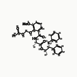 COc1ccnc(C(=O)N[C@@H](C)C(=O)O[C@@H](C)[C@H](Sc2ccccc2)c2ccccc2)c1OCOC(=O)C(C)C